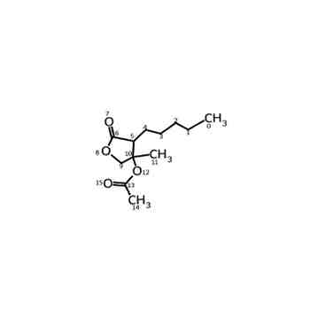 CCCCCC1C(=O)OCC1(C)OC(C)=O